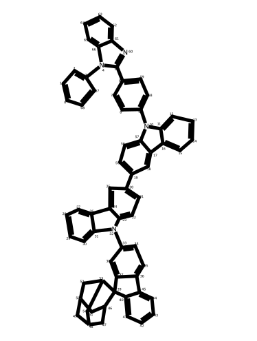 c1ccc(-n2c(-c3ccc(-n4c5ccccc5c5cc(-c6ccc7c(c6)c6ccccc6n7-c6ccc7c(c6)C6(c8ccccc8-7)C7CC8CC(C7)CC6C8)ccc54)cc3)nc3ccccc32)cc1